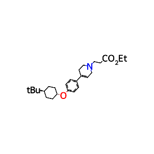 CCOC(=O)CCN1CC=C(c2ccc(O[C@H]3CC[C@H](C(C)(C)C)CC3)cc2)CC1